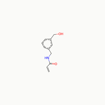 C=CC(=O)NCc1cccc(CO)c1